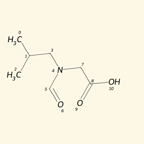 CC(C)CN(C=O)CC(=O)O